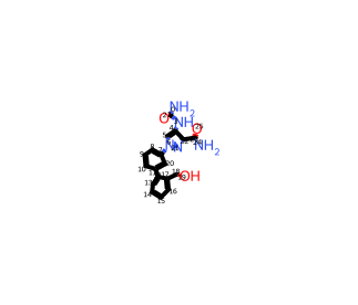 NC(=O)Nc1cn(-c2cccc(-c3ccccc3CO)c2)nc1C(N)=O